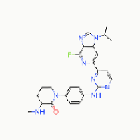 CNC1CCCN(c2ccc(Nc3nccc(-c4cc5c(ncn5C(C)C)c(F)n4)n3)cc2)C1=O